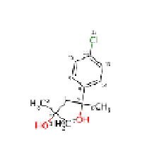 CC(C)(O)CC(C)(O)c1ccc(Cl)cc1